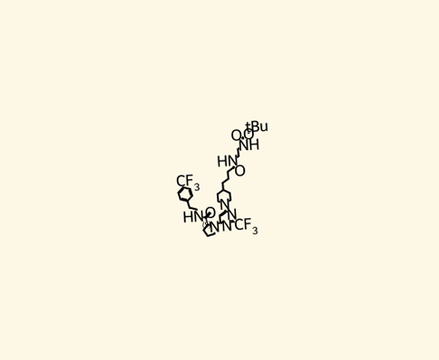 CC(C)(C)OC(=O)NCCNC(=O)CCCC1CCN(c2cc(N3CCC[C@H]3C(=O)NCCc3ccc(C(F)(F)F)cc3)nc(C(F)(F)F)n2)CC1